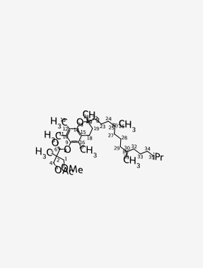 COCC(C)(COC(C)=O)C(=O)Oc1c(C)c(C)c2c(c1C)CC[C@@](C)(CCC[C@H](C)CCC[C@H](C)CCCC(C)C)O2